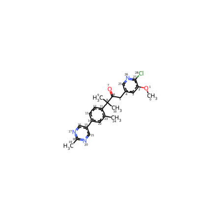 COc1cc(CC(=O)C(C)(C)c2ccc(-c3cnc(C)nc3)cc2C)cnc1Cl